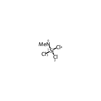 CN[Si](Cl)(Cl)Cl